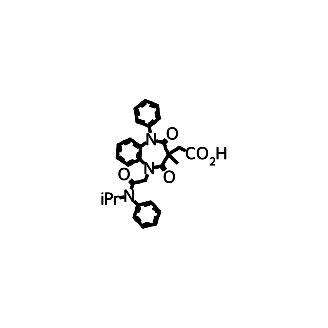 CC(C)N(C(=O)CN1C(=O)C(C)(CC(=O)O)C(=O)N(c2ccccc2)c2ccccc21)c1ccccc1